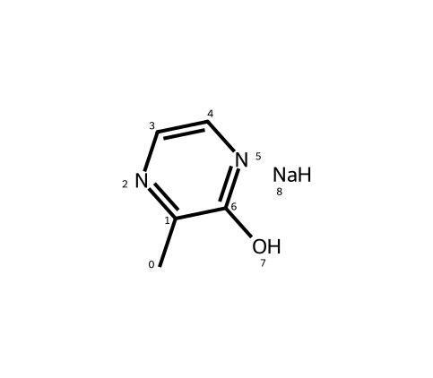 Cc1nccnc1O.[NaH]